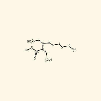 CCOC(=O)CN(CCCCCN)C(CC(=O)O)C(=O)OC(C)CC